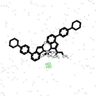 CCC(C)C1=Cc2c(-c3ccc(C4CCCCC4)cc3)cccc2[CH]1[Zr]([CH3])([CH3])(=[SiH2])[CH]1C(C)=Cc2c(-c3ccc(C4CCCCC4)cc3)cccc21.Cl.Cl